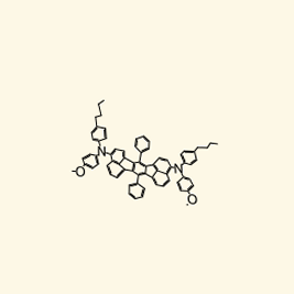 CCCCc1ccc(N(c2ccc(OC)cc2)c2ccc3c4c(-c5ccccc5)c5c6ccc(N(c7ccc(CCCC)cc7)c7ccc(OC)cc7)c7cccc(c5c(-c5ccccc5)c4c4cccc2c43)c76)cc1